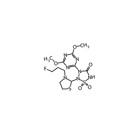 COc1nc(OC)nc(N2C(=O)NS(=O)(=O)N2C2SCCN2CCCF)n1